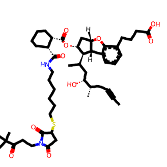 CC#CC[C@H](C)[C@H](O)CC(C)[C@@H]1[C@H]2c3cccc(CCCC(=O)O)c3O[C@H]2C[C@H]1OC(=O)[C@H]1CCCC[C@H]1C(=O)NCCCCCCSC1CC(=O)N(CCC(=O)C(C)(C)C)C1=O